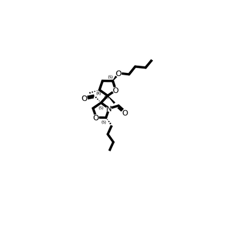 CCCCO[C@@H]1C[C@@H](C)[C@@](C)([C@]2(C=O)CO[C@@H](CCCC)N2C=O)O1